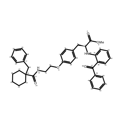 COC(=O)[C@H](Cc1ccc(OCCNC(=O)C2(Cc3ccccc3)CCCCC2)cc1)Nc1ccccc1C(=O)c1ccccc1